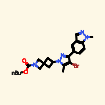 CCCCOC(=O)N1CC2(CC(n3nc(-c4ccc5c(cnn5C)c4)c(Br)c3C)C2)C1